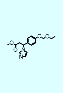 CCOCOc1ccc(C(CC(=O)OC)n2ccnc2)cc1